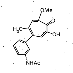 COc1cc(C)c(-c2cccc(NC(C)=O)c2)cc(O)c1=O